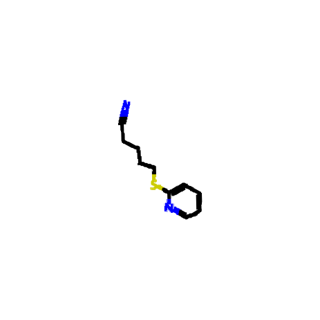 N#CCCCCSc1ccccn1